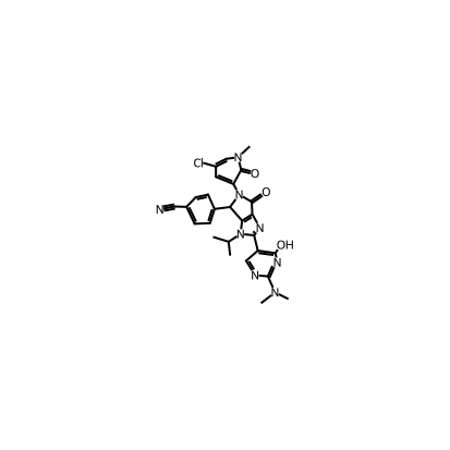 CC(C)n1c(-c2cnc(N(C)C)nc2O)nc2c1C(c1ccc(C#N)cc1)N(c1cc(Cl)cn(C)c1=O)C2=O